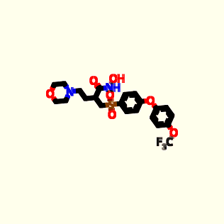 O=C(NO)C(CCN1CCOCC1)CS(=O)(=O)c1ccc(Oc2ccc(OC(F)(F)F)cc2)cc1